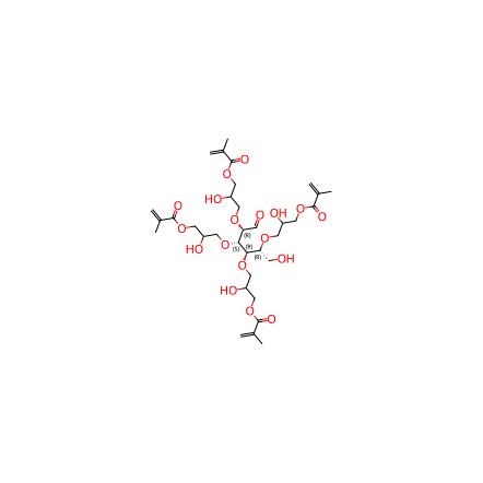 C=C(C)C(=O)OCC(O)CO[C@@H]([C@H](OCC(O)COC(=O)C(=C)C)[C@@H](CO)OCC(O)COC(=O)C(=C)C)[C@H](C=O)OCC(O)COC(=O)C(=C)C